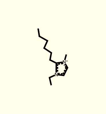 CCCCCCc1n(CC)cc[n+]1C